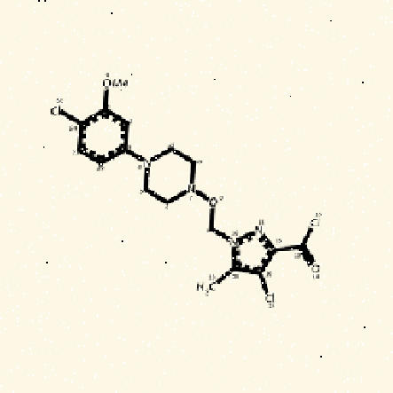 COc1cc(N2CCN(OCn3nc(C(=O)Cl)c(Cl)c3C)CC2)ccc1Cl